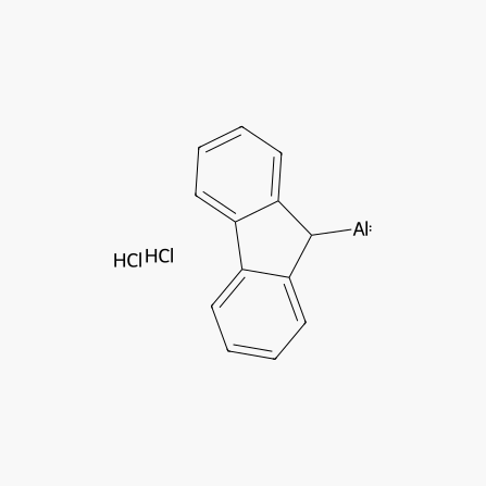 Cl.Cl.[Al][CH]1c2ccccc2-c2ccccc21